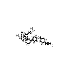 C=CCC(CC)[C@@]1(C)OO[C@@]2(CCCC(c3ccc(O[C@H]4CC[C@@H](N)CC4)cc3)C2)O1